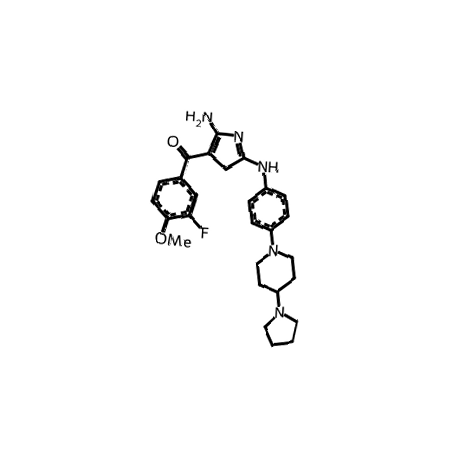 COc1ccc(C(=O)C2=C(N)N=C(Nc3ccc(N4CCC(N5CCCC5)CC4)cc3)C2)cc1F